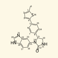 Cc1ccc(-c2ccc(C3CNC(=O)N3c3ccc4[nH]cnc4c3)cc2)s1